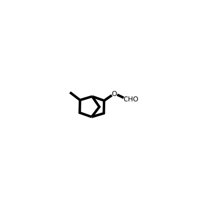 CC1CC2CC(OC=O)C1C2